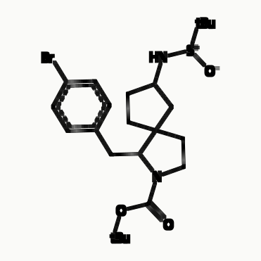 CC(C)(C)OC(=O)N1CCC2(CCC(N[S+]([O-])C(C)(C)C)C2)C1Cc1ccc(Br)cc1